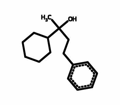 CC(O)(CCc1ccccc1)C1CCCCC1